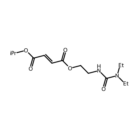 CCN(CC)C(=O)NCCOC(=O)/C=C/C(=O)OC(C)C